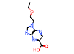 CCOCCn1cnc2nc(C(=O)O)cnc21